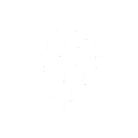 COc1ccc(C[Si](C)(C)O[Si](C)(C)Cc2ccc(OC(C)=O)c(OC)c2)cc1CO